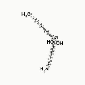 CCCCCCCCCCCCCCCCCCCCCC(=O)C(CO)C(O)CCCCCCCCCCCCCCCN